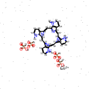 CS(=O)(=O)[O-].CS(=O)(=O)[O-].CS(=O)(=O)[O-].CS(=O)(=O)[O-].C[n+]1cccc2c1-c1cc3[n-]c(cc4nc(cc5[n-]c(cc-2n1)c1c5ccc[n+]1C)-c1c-4ccc[n+]1C)c1c3ccc[n+]1C.[Cu+2]